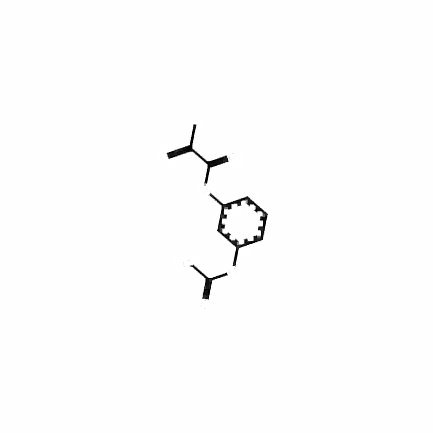 C=C(C)C(=O)Oc1cccc(OC(=O)Cl)c1